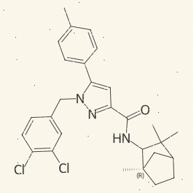 Cc1ccc(-c2cc(C(=O)NC3C(C)(C)C4CC[C@]3(C)C4)nn2Cc2ccc(Cl)c(Cl)c2)cc1